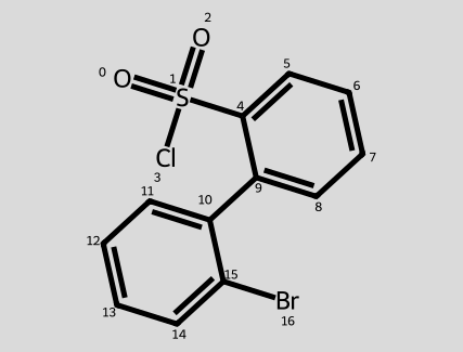 O=S(=O)(Cl)c1ccccc1-c1ccccc1Br